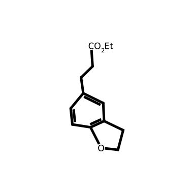 CCOC(=O)CCc1ccc2c(c1)CCO2